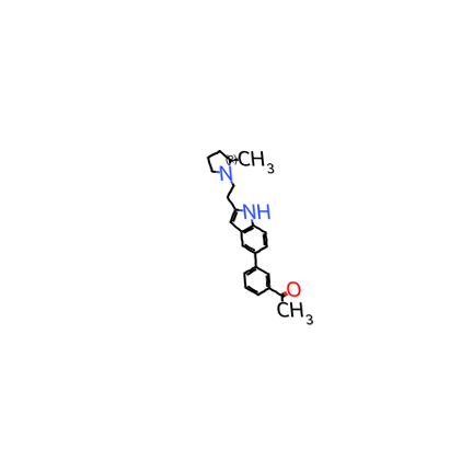 CC(=O)c1cccc(-c2ccc3[nH]c(CCN4CCC[C@H]4C)cc3c2)c1